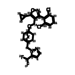 FC(F)c1ccnn1CC12CCC(OCc3c(-c4c(Cl)cccc4Cl)noc3C3CC3)(CC1)CC2